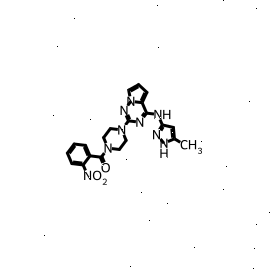 Cc1cc(Nc2nc(N3CCN(C(=O)c4ccccc4[N+](=O)[O-])CC3)nn3cccc23)n[nH]1